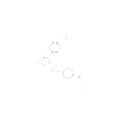 CCCC(=O)c1ccc(NCc2c[nH]nc2-c2ccc(O)cc2)cc1